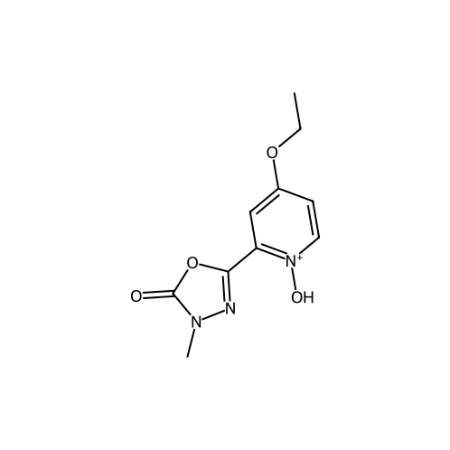 CCOc1cc[n+](O)c(-c2nn(C)c(=O)o2)c1